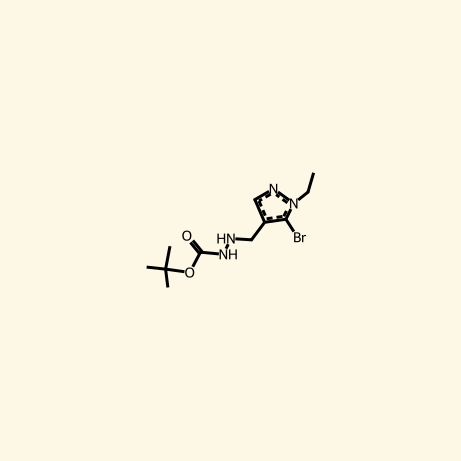 CCn1ncc(CNNC(=O)OC(C)(C)C)c1Br